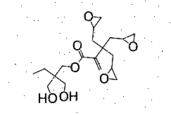 C=C(C(=O)OCC(CC)(CO)CO)C(CC1CO1)(CC1CO1)CC1CO1